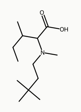 CCC(C)C(C(=O)O)N(C)CCC(C)(C)C